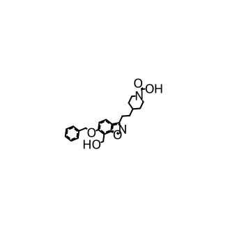 O=C(O)N1CCC(CCc2noc3c(CO)c(OCc4ccccc4)ccc23)CC1